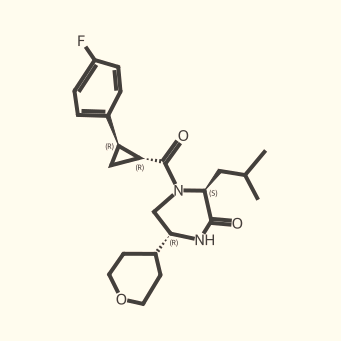 CC(C)C[C@H]1C(=O)N[C@H](C2CCOCC2)CN1C(=O)[C@@H]1C[C@H]1c1ccc(F)cc1